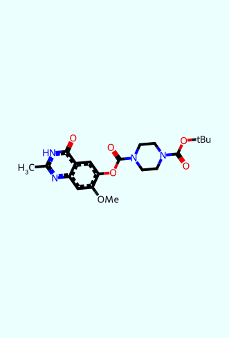 COc1cc2nc(C)[nH]c(=O)c2cc1OC(=O)N1CCN(C(=O)OC(C)(C)C)CC1